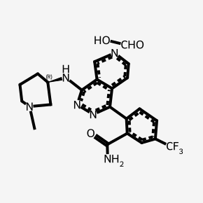 CN1CCC[C@@H](Nc2nnc(-c3ccc(C(F)(F)F)cc3C(N)=O)c3ccncc23)C1.O=CO